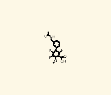 COc1c(F)c(F)c(-c2cccc(CNC(C)=O)c2)c(F)c1C(=O)O